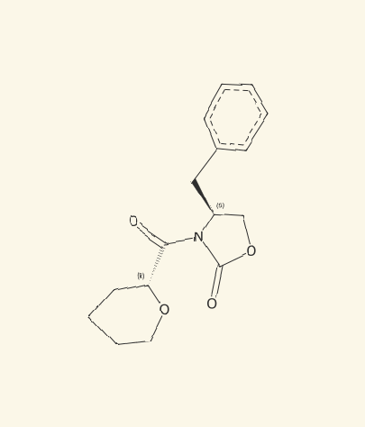 O=C1OC[C@H](Cc2ccccc2)N1C(=O)[C@H]1CCCCO1